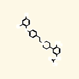 Cc1ccc(NC(=O)C(C)C)cc1C1CCN(CCc2ccc(Sc3ccc(Cl)cc3Cl)cc2)CC1